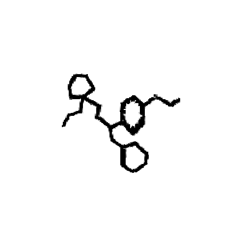 CCCC1(CCC(CC2=CCCCC2)c2ccc(OCC)cc2)CCCCC1